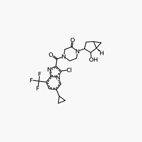 O=C(c1nc2c(C(F)(F)F)cc(C3CC3)cn2c1Cl)N1CCN(C2CC3C[C@@H]3C2O)C(=O)C1